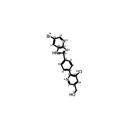 OCc1cnc(-c2ccc(-c3nc4ncc(Br)cc4[nH]3)cc2)c(Cl)c1